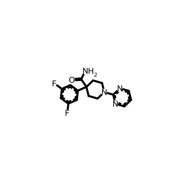 NC(=O)C1(c2cc(F)cc(F)c2)CCN(c2ncccn2)CC1